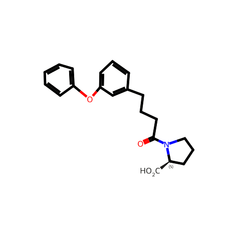 O=C(O)[C@@H]1CCCN1C(=O)CCCc1cccc(Oc2ccccc2)c1